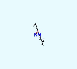 C=C(CCC)CCCCCCCC(CCCCCCCC(=C)CCC(CCC(C)C)C(C)C)CCCNC